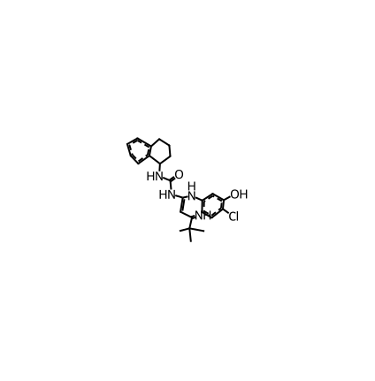 CC(C)(C)C(=N)/C=C(/NC(=O)NC1CCCc2ccccc21)Nc1ccc(Cl)c(O)c1